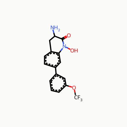 NC1Cc2ccc(-c3cccc(OC(F)(F)F)c3)cc2N(O)C1=O